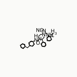 Cc1ccccc1N/C(=N/C#N)N1CCN(C(=O)Nc2ccc(Cc3ccccc3)cc2)C(c2ccccc2)C1